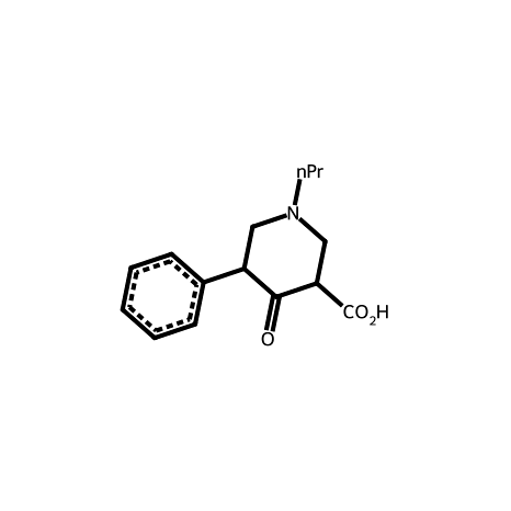 CCCN1CC(C(=O)O)C(=O)C(c2ccccc2)C1